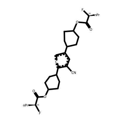 CCC[C@H](F)C(=O)OC1CCC(c2ccc(C3CCC(OC(=O)[C@@H](F)CCC)CC3)c(C#N)c2)CC1